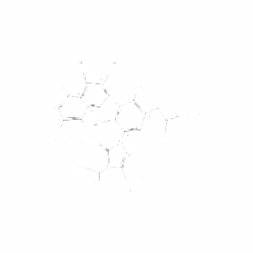 CCOC(=O)C(Cl)Cc1cc(-n2nc(C)n(C(F)F)c2=O)c(F)cc1Cl.Cc1cnc2c(C(=O)O)c(Cl)ccc2c1